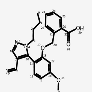 CCCCn1ncc(C=O)c1-c1ccc(OC)cc1OCc1ccccc1C(=O)O